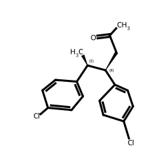 CC(=O)C[C@@H](c1ccc(Cl)cc1)[C@H](C)c1ccc(Cl)cc1